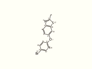 Cc1nc2ccc(Oc3ccc(Br)cn3)cc2s1